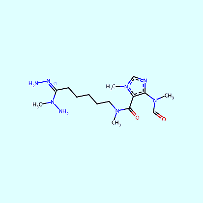 CN(CCCCC/C(=N/N)N(C)N)C(=O)c1c(N(C)C=O)ncn1C